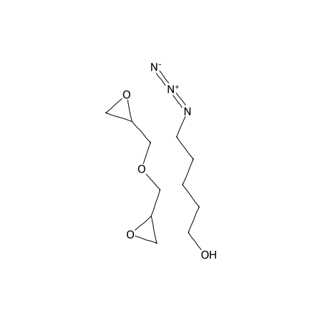 C(OCC1CO1)C1CO1.[N-]=[N+]=NCCCCCO